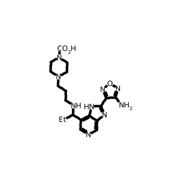 CCC(NCCCN1CCN(C(=O)O)CC1)c1cncc2nc(-c3nonc3N)[nH]c12